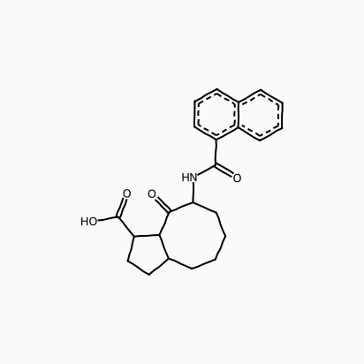 O=C(NC1CCCCC2CCC(C(=O)O)C2C1=O)c1cccc2ccccc12